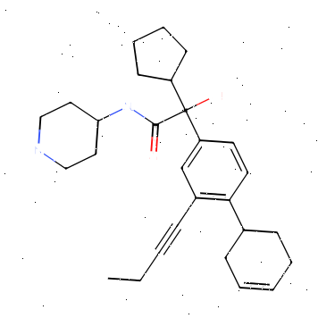 CCC#Cc1cc(C(O)(C(=O)NC2CCNCC2)C2CCCC2)ccc1C1CC=CCC1